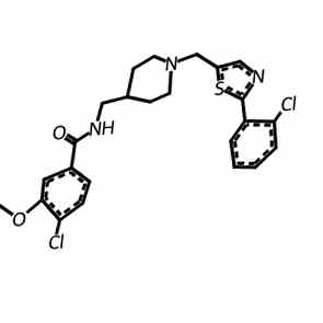 COc1cc(C(=O)NCC2CCN(Cc3cnc(-c4ccccc4Cl)s3)CC2)ccc1Cl